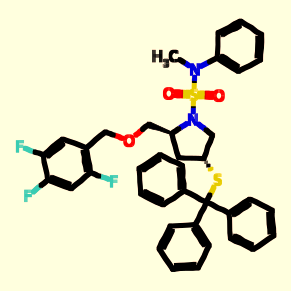 CN(c1ccccc1)S(=O)(=O)N1C[C@H](SC(c2ccccc2)(c2ccccc2)c2ccccc2)C[C@H]1COCc1cc(F)c(F)cc1F